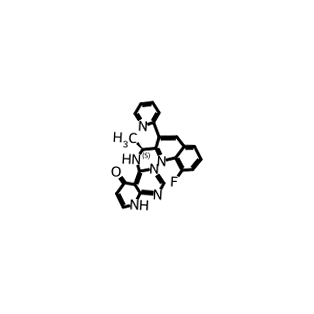 C[C@H](Nc1ncnc2[nH]ccc(=O)c12)c1nc2c(F)cccc2cc1-c1ccccn1